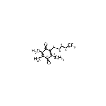 CC1=C(C)C(=O)C(CCCCC(F)(F)F)=C(C)C1=O